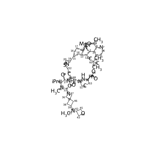 CCn1c(-c2cccnc2[C@H](C)OC)c2c3cc(ccc31)-c1csc(n1)C[C@H](NC(=O)[C@H](C(C)C)N(C)C(=O)N1CC3(CC(N(C)C4COC4)C3)C1)C(=O)N1CCC[C@H](N1)C(=O)OCC(C)(C)C2